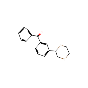 O=C(c1ccccc1)c1cccc(C2CSCCS2)c1